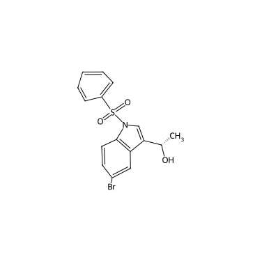 C[C@H](O)c1cn(S(=O)(=O)c2ccccc2)c2ccc(Br)cc12